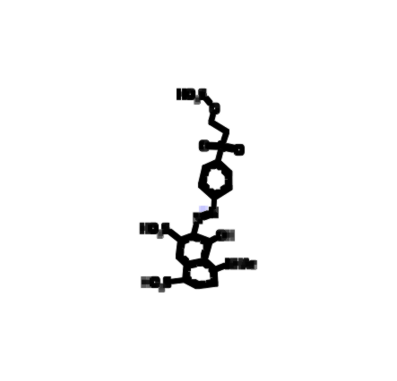 CC(=O)Nc1ccc(S(=O)(=O)O)c2cc(S(=O)(=O)O)c(/N=N/c3ccc(S(=O)(=O)CCOS(=O)(=O)O)cc3)c(O)c12